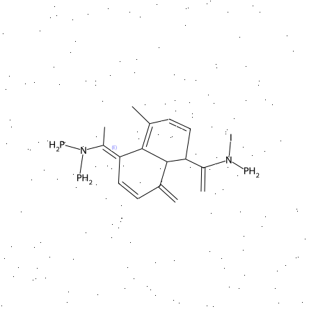 C=C1C=C/C(=C(/C)N(P)P)C2=C(C)C=CC(C(=C)N(P)I)C12